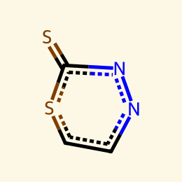 S=c1nnccs1